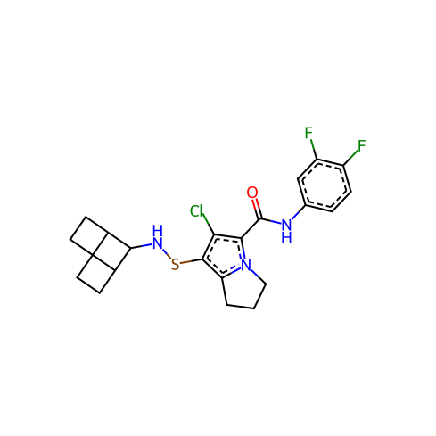 O=C(Nc1ccc(F)c(F)c1)c1c(Cl)c(SNC2C3CCC34CCC24)c2n1CCC2